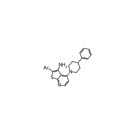 CC(=O)c1sc2nccc(N3CCC(c4ccccc4)CC3)c2c1N